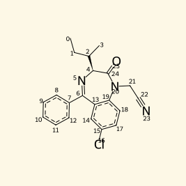 CCC(C)[C@@H]1N=C(c2ccccc2)c2cc(Cl)ccc2N(CC#N)C1=O